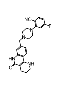 N#Cc1ccc(F)cc1N1CCN(Cc2ccc3c4c(c(=O)[nH]c3c2)CCCN4)CC1